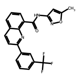 Cc1cc(NC(=O)c2cccc3ccc(-c4cccc(C(F)(F)F)c4)nc23)no1